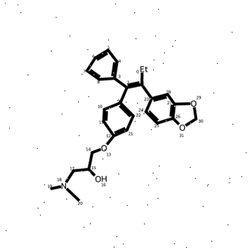 CC/C(=C(\c1ccccc1)c1ccc(OCC(O)CN(C)C)cc1)c1ccc2c(c1)OCO2